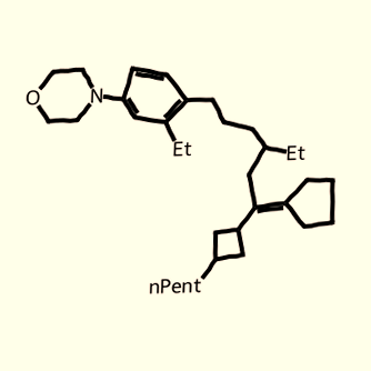 CCCCCC1CC(C(CC(CC)CCCc2ccc(N3CCOCC3)cc2CC)=C2CCCC2)C1